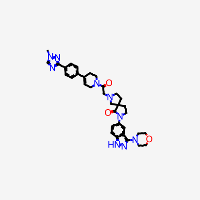 Cn1cnc(-c2ccc(C3=CCN(C(=O)CN4CCC5(CCN(c6ccc7[nH]nc(N8CCOCC8)c7c6)C5=O)C4)CC3)cc2)n1